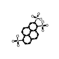 O=S(=O)(Cl)c1cc2ccc3c(S(=O)(=O)Cl)ccc4ccc(c1S(=O)(=O)Cl)c2c43